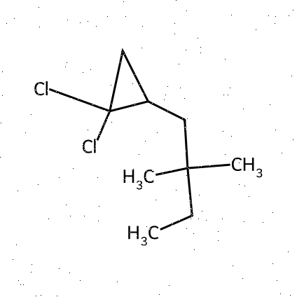 CCC(C)(C)CC1CC1(Cl)Cl